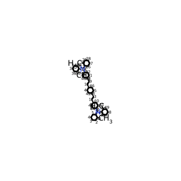 Cc1ccccc1N(c1ccc(C=Cc2ccc(C=Cc3ccc(N(c4ccccc4C)c4ccccc4C)cc3)cc2)cc1)c1ccccc1C